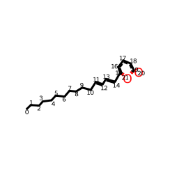 CCCCCCCCCCCC=CC=Cc1cccc(=O)o1